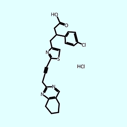 Cl.O=C(O)CC(Cc1csc(C#CCc2ncc3c(n2)CCCC3)n1)c1ccc(Cl)cc1